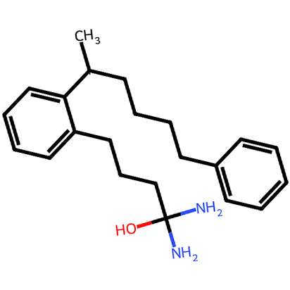 C[C](CCCCc1ccccc1)c1ccccc1CCCC(N)(N)O